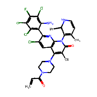 C=CC(=O)N1CCN(c2c(C#N)c(=O)n(C3=C(C)C=CNC3C(C)C)c3nc(-c4c(N)c(Cl)c(F)c(Cl)c4Cl)c(Cl)cc23)CC1